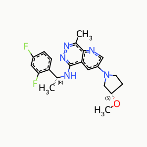 CO[C@H]1CCN(c2cnc3c(C)nnc(N[C@H](C)c4ccc(F)cc4F)c3c2)C1